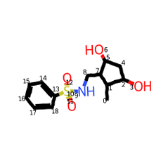 CC1C(O)CC(O)C1CNS(=O)(=O)c1ccccc1